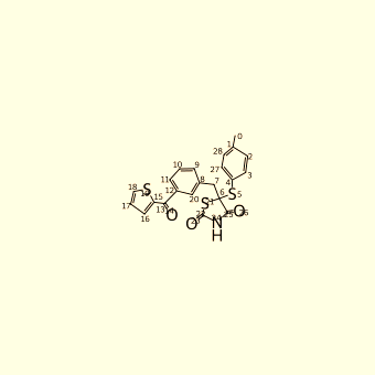 Cc1ccc(SC2(Cc3cccc(C(=O)c4cccs4)c3)SC(=O)NC2=O)cc1